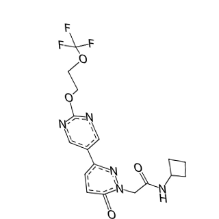 O=C(Cn1nc(-c2cnc(OCCOC(F)(F)F)nc2)ccc1=O)NC1CCC1